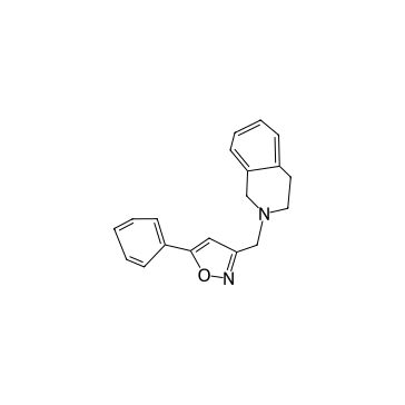 c1ccc(-c2cc(CN3CCc4ccccc4C3)no2)cc1